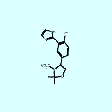 CC1(C)OCC(c2ccc(Cl)c(-c3ncc[nH]3)c2)N1C(=O)O